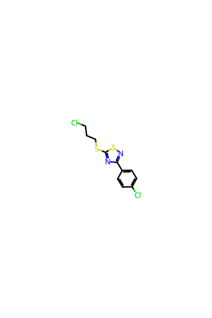 ClCCCSc1nc(-c2ccc(Cl)cc2)ns1